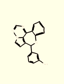 Nc1cccc(C2Nc3ccccc3-c3ncnn4ccc2c34)c1